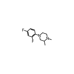 CC1CN(c2ccc(F)cc2F)CCN1C